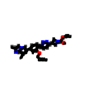 COCOc1cc(-c2cc(C)c3nc(C)cn3c2)ccc1-c1ccc(C2CN(C(=O)OC(C)(C)C)C2)nn1